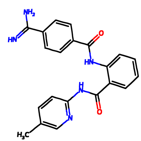 Cc1ccc(NC(=O)c2ccccc2NC(=O)c2ccc(C(=N)N)cc2)nc1